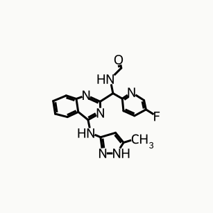 Cc1cc(Nc2nc(C(NC=O)c3ccc(F)cn3)nc3ccccc23)n[nH]1